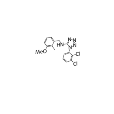 COc1cccc(CNc2nnnn2-c2cccc(Cl)c2Cl)c1C